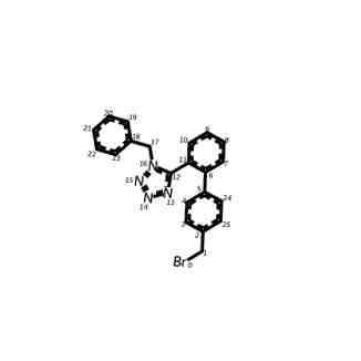 BrCc1ccc(-c2ccccc2-c2nnnn2Cc2ccccc2)cc1